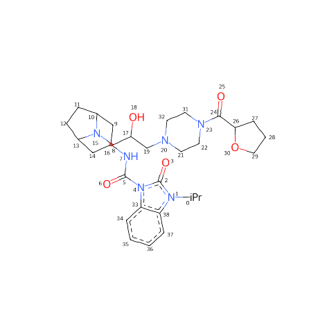 CC(C)n1c(=O)n(C(=O)NC2CC3CCC(C2)N3CC(O)CN2CCN(C(=O)C3CCCO3)CC2)c2ccccc21